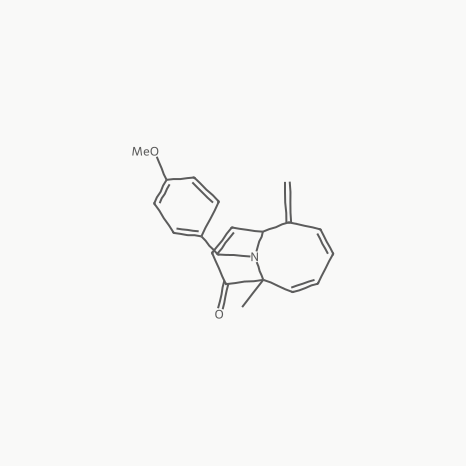 C=C1/C=C\C=C/C2(C)C(=O)C=CC1N2Cc1ccc(OC)cc1